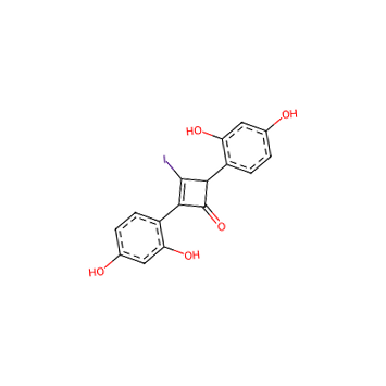 O=C1C(c2ccc(O)cc2O)=C(I)C1c1ccc(O)cc1O